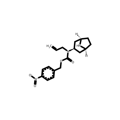 C=CCN(C(=O)OCc1ccc([N+](=O)[O-])cc1)[C@H]1C[C@H]2CC[C@@H](C1)N2